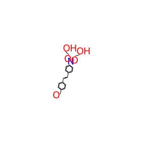 O=Cc1ccc(C=Cc2ccc(N(OCCO)OCCO)cc2)cc1